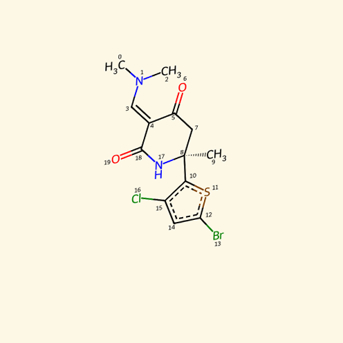 CN(C)C=C1C(=O)C[C@@](C)(c2sc(Br)cc2Cl)NC1=O